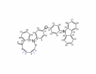 C=C1/C=C\C=C/CN(c2ccc(Oc3ccc(-n4c5ccccc5c5ccccc54)cc3)cc2)c2ccccc21